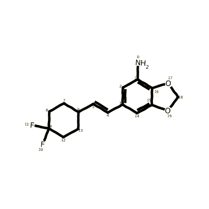 Nc1cc(/C=C/C2CCC(F)(F)CC2)cc2c1OCO2